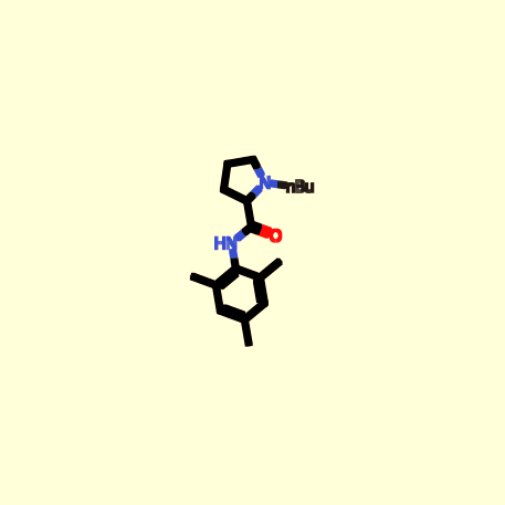 CCCCN1CCCC1C(=O)Nc1c(C)cc(C)cc1C